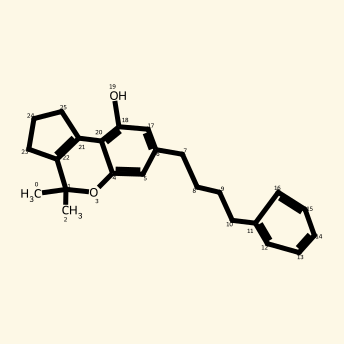 CC1(C)Oc2cc(CCCCc3ccccc3)cc(O)c2C2=C1CCC2